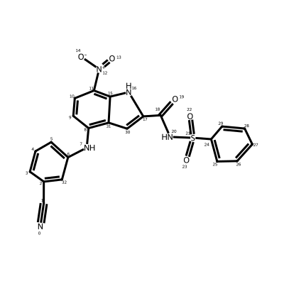 N#Cc1cccc(Nc2ccc([N+](=O)[O-])c3[nH]c(C(=O)NS(=O)(=O)c4ccccc4)cc23)c1